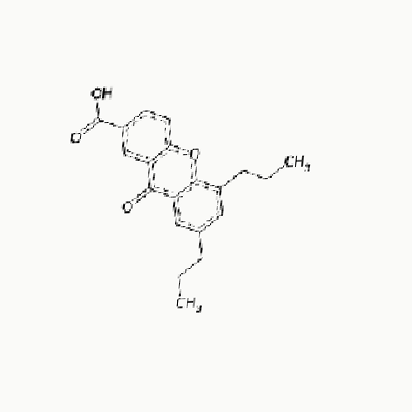 CCCc1cc(CCC)c2oc3ccc(C(=O)O)cc3c(=O)c2c1